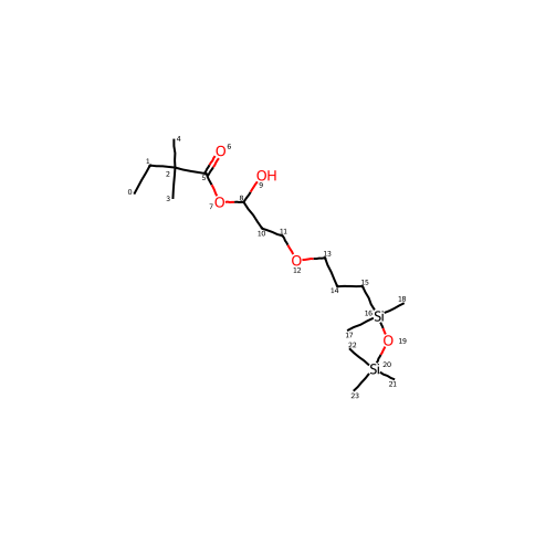 CCC(C)(C)C(=O)OC(O)CCOCCC[Si](C)(C)O[Si](C)(C)C